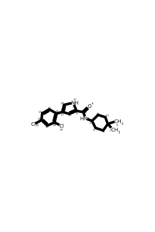 CC1(C)CCC(NC(=O)c2cc(-c3ccc(Cl)cc3Cl)c[nH]2)CC1